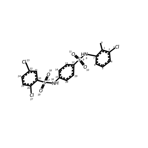 Cc1c(Cl)cccc1NS(=O)(=O)c1ccc(NS(=O)(=O)c2cc(Cl)ccc2Cl)cc1